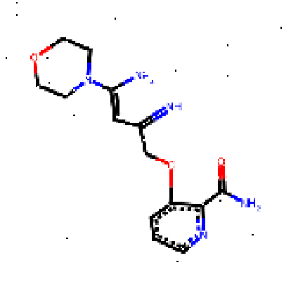 N=C(/C=C(\N)N1CCOCC1)COc1cccnc1C(N)=O